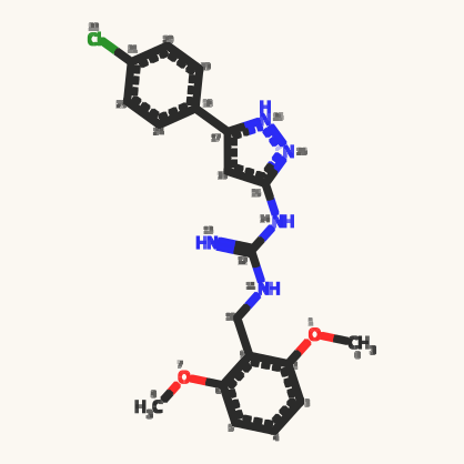 COc1cccc(OC)c1CNC(=N)Nc1cc(-c2ccc(Cl)cc2)[nH]n1